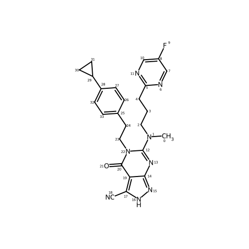 CN(CCCc1ncc(F)cn1)c1nc2n[nH]c(C#N)c2c(=O)n1CCc1ccc(C2CC2)cc1